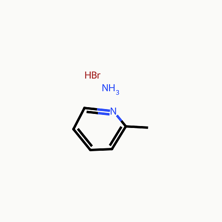 Br.Cc1ccccn1.N